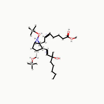 CCCCCC(C)(O)/C=C/[C@H]1[C@H](CO[Si](C)(C)C)CC2N(O[Si](C)(C)C)[C@@]21C/C=C\CCCC(=O)OC